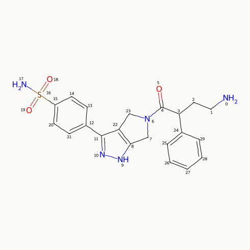 NCCC(C(=O)N1Cc2[nH]nc(-c3ccc(S(N)(=O)=O)cc3)c2C1)c1ccccc1